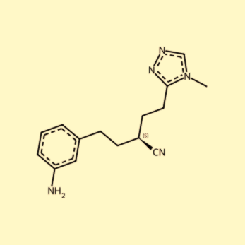 Cn1cnnc1CC[C@@H](C#N)CCc1cccc(N)c1